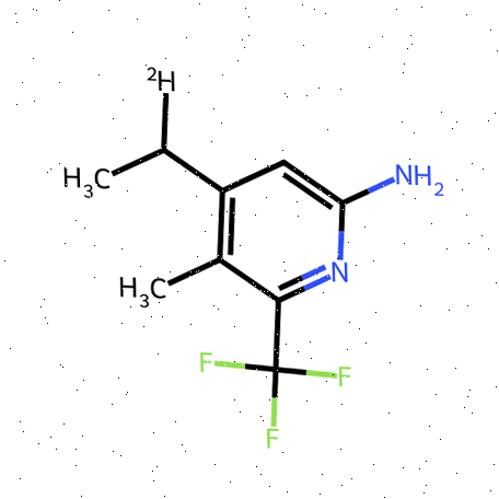 [2H]C(C)c1cc(N)nc(C(F)(F)F)c1C